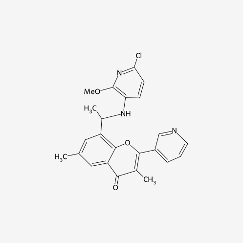 COc1nc(Cl)ccc1NC(C)c1cc(C)cc2c(=O)c(C)c(-c3cccnc3)oc12